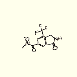 CON(C)C(=O)c1cc2c(c(C(F)(F)F)c1)CNC2=O